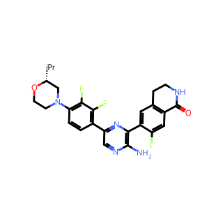 CC(C)[C@@H]1CN(c2ccc(-c3cnc(N)c(-c4cc5c(cc4F)C(=O)NCC5)n3)c(F)c2F)CCO1